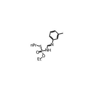 CCCSP(=O)(NC=Nc1cccc(C)c1)OCC